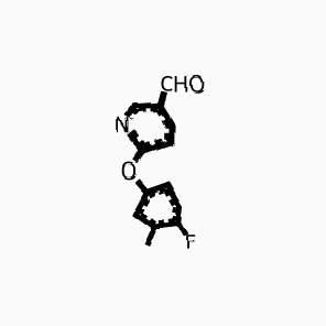 Cc1cc(Oc2ccc(C=O)cn2)ccc1F